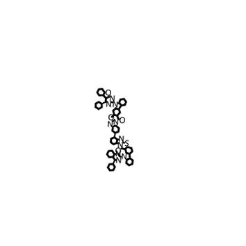 O=c1c2cc3c4ccccc4n(-c4nc(-c5ccccc5)c5c(n4)oc4ccccc45)c3cc2oc2nc3cc(-c4cccc5c4nc4sc6ccc7c8ccccc8n(-c8nc(-c9ccccc9)c9ccccc9n8)c7c6c(=O)n45)ccc3n12